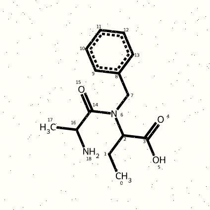 CCC(C(=O)O)N(Cc1ccccc1)C(=O)C(C)N